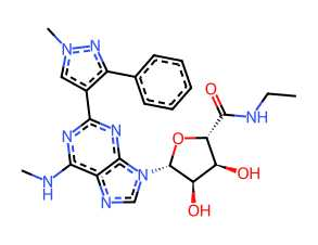 CCNC(=O)[C@H]1O[C@@H](n2cnc3c(NC)nc(-c4cn(C)nc4-c4ccccc4)nc32)[C@H](O)[C@@H]1O